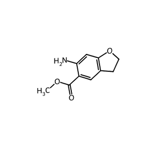 COC(=O)c1cc2c(cc1N)OCC2